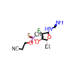 CC[C@H]1O[C@@H](NC=N)[C@H](F)[C@@H]1OP(C)(=S)OCCC#N